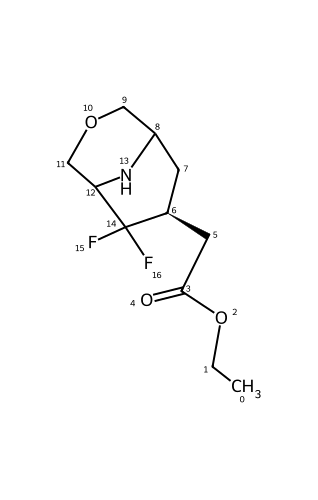 CCOC(=O)C[C@@H]1CC2COCC(N2)C1(F)F